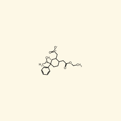 CCOC(=O)CC1CCC(c2ccccc2)(N(C)C)CC1C[N+](=O)[O-]